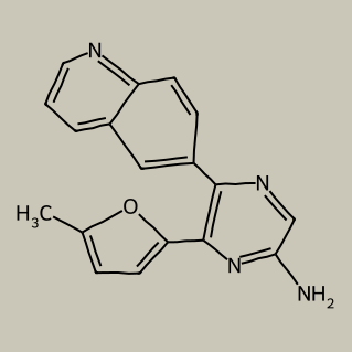 Cc1ccc(-c2nc(N)cnc2-c2ccc3ncccc3c2)o1